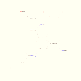 CNC(=O)c1c(I)c(NC(=O)COC)c(I)c(C(=O)N(CC(O)CO)CC(O)CO)c1I